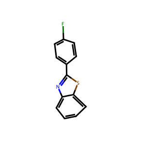 Fc1ccc(-c2nc3ccccc3s2)cc1